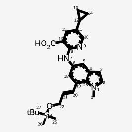 Cn1ccc2cc(Nc3ncc(C4CC4)cc3C(=O)O)cc(C=CCO[Si](C)(C)C(C)(C)C)c21